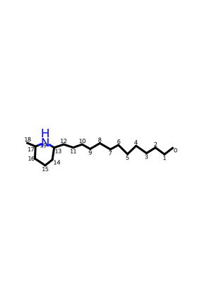 CCCCCCCCCCCCCC1CCCC(C)N1